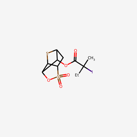 CCC(C)(I)C(=O)OC1C2CC3C(S2)C1OS3(=O)=O